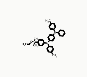 CCO[Si](C)(C)c1ccc(N(c2ccc(C)cc2)c2ccc(N(c3ccccc3)c3ccc(C)cc3)cc2)cc1